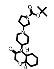 CC(C)(C)OC(=O)N1CC[C@H](N2CCC(N3C(=O)CO[C@H]4CCCC[C@@H]43)CC2)C1